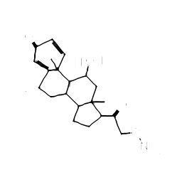 C[C@H]1CC2C3CCC(C(=O)CON)C3(C)CC(O)[C@@H]2C2(C)C=CC(=O)C=C12